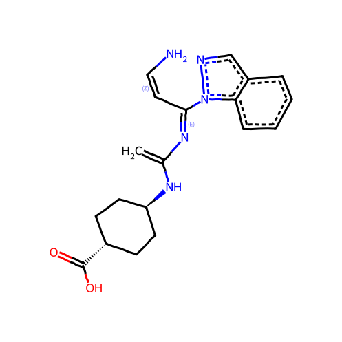 C=C(/N=C(\C=C/N)n1ncc2ccccc21)N[C@H]1CC[C@H](C(=O)O)CC1